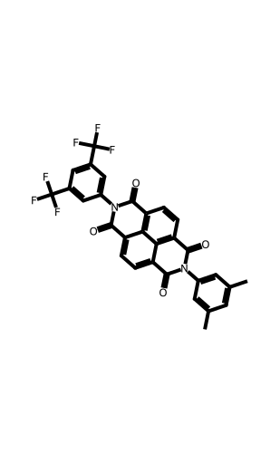 Cc1cc(C)cc(N2C(=O)c3ccc4c5c(ccc(c35)C2=O)C(=O)N(c2cc(C(F)(F)F)cc(C(F)(F)F)c2)C4=O)c1